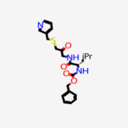 CC(C)C[C@H](NC(=O)OCc1ccccc1)C(=O)NCC(=O)CSCc1cccnc1